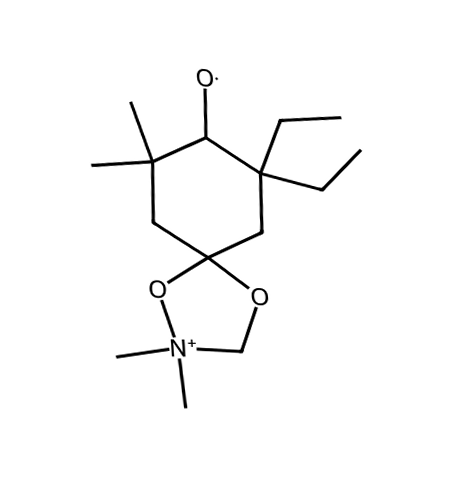 CCC1(CC)CC2(CC(C)(C)C1[O])OC[N+](C)(C)O2